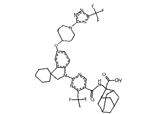 CC(F)(F)c1nc(N2CC3(CCCCC3)c3cc(OC4CCN(c5nnc(C(F)(F)F)s5)CC4)ccc32)ncc1C(=O)NC1(C(=O)O)C2CC3CC(C2)CC1C3